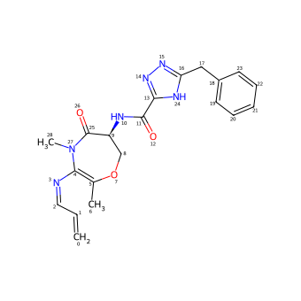 C=C/C=N\C1=C(C)OC[C@H](NC(=O)c2nnc(Cc3ccccc3)[nH]2)C(=O)N1C